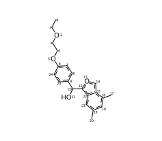 CCOCCOc1ccc(C(O)c2occ3c(C)cc(C)cc23)cc1